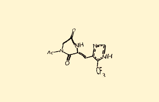 CC(=O)N1CC(=O)N/C(=C\c2nc[nH]c2C(F)(F)F)C1=O